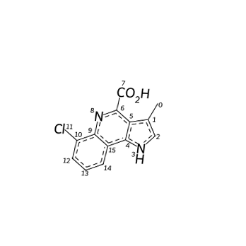 Cc1c[nH]c2c1c(C(=O)O)nc1c(Cl)cccc12